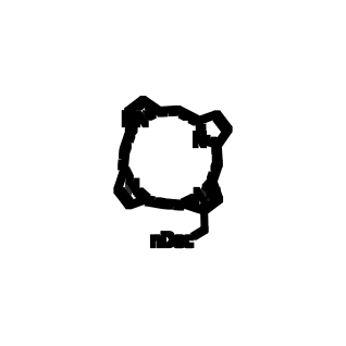 CCCCCCCCCCCc1cc2cc3nc(cc4ccc(cc5nc(cc1[nH]2)C=C5)[nH]4)C=C3